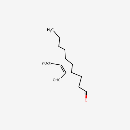 CCCCCCCC/C=C\C=O.CCCCCCCCCC=O